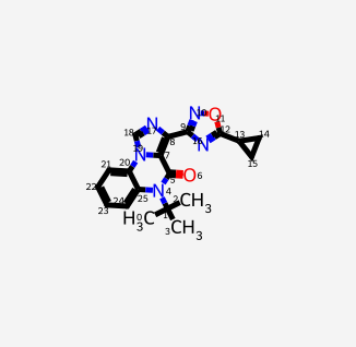 CC(C)(C)n1c(=O)c2c(-c3noc(C4CC4)n3)ncn2c2ccccc21